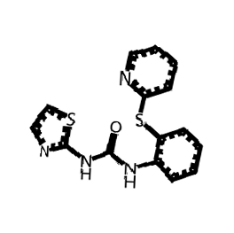 O=C(Nc1nccs1)Nc1ccccc1Sc1ccccn1